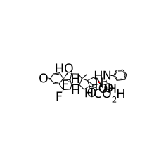 C[C@]12C=CC(=O)C=C1[C@@H](F)C[C@H]1[C@@H]3C[C@H]4C(C(=O)O)N(C(=O)Nc5ccccc5)C[C@@]4(C(=O)CO)[C@@]3(C)C[C@H](O)[C@@]12F